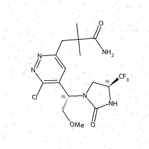 COC[C@H](c1cc(CC(C)(C)C(N)=O)nnc1Cl)N1C[C@@H](C(F)(F)F)NC1=O